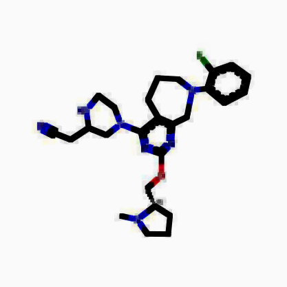 CN1CCC[C@H]1COc1nc2c(c(N3CCNC(CC#N)C3)n1)CCCN(c1ccccc1F)C2